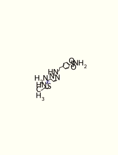 CCC1=CS/C(=C(/N)c2ccnc(NCCc3ccc(S(N)(=O)=O)cc3)n2)N1